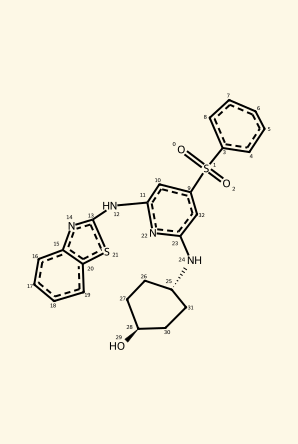 O=S(=O)(c1ccccc1)c1cc(Nc2nc3ccccc3s2)nc(N[C@H]2CC[C@H](O)CC2)c1